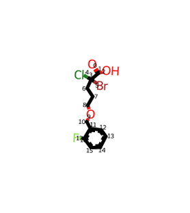 O=C(O)C(Cl)(Br)CCCOCc1ccccc1F